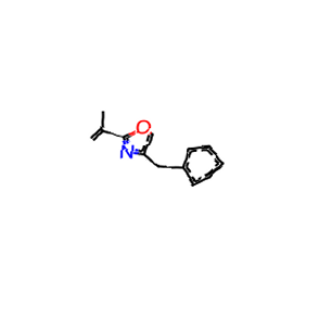 C=C(C)c1nc(Cc2ccccc2)co1